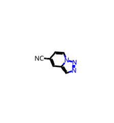 N#Cc1ccn2nncc2c1